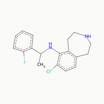 CC(Nc1c(Cl)ccc2c1CCNCC2)c1ccccc1F